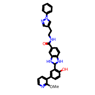 COc1ncccc1-c1ccc(O)c(C2Nc3ccc(C(=O)NCCc4cnn(-c5ccccc5)c4)cc3N2)c1